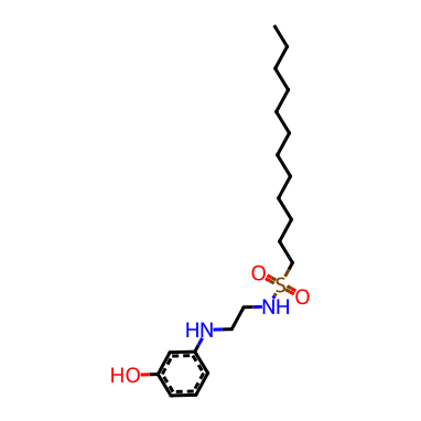 CCCCCCCCCCCCS(=O)(=O)NCCNc1cccc(O)c1